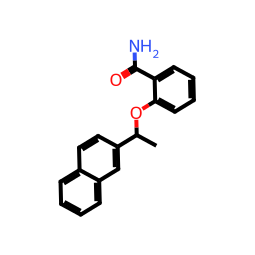 CC(Oc1ccccc1C(N)=O)c1ccc2ccccc2c1